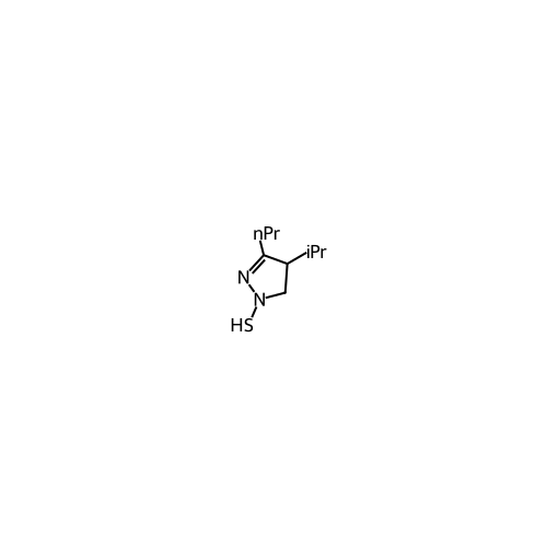 CCCC1=NN(S)CC1C(C)C